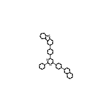 c1ccc(-c2nc(-c3ccc(-c4ccc5ccccc5c4)cc3)cc(-c3ccc(-c4ccc5sc6ccccc6c5c4)cc3)n2)cc1